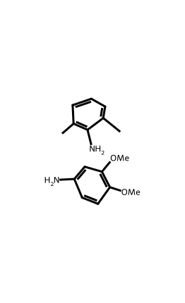 COc1ccc(N)cc1OC.Cc1cccc(C)c1N